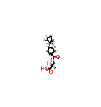 CC1(Oc2ccc(C(=O)OCC(F)(F)C(=O)O)cc2)CCCC1